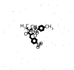 CCN(CC)C(=O)C(Cc1ccc([N+](=O)[O-])cc1)C(=O)NS(=O)(=O)c1ccc(C)cc1